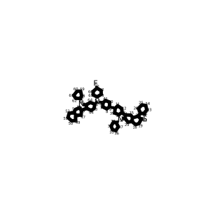 Fc1ccc(N(c2ccc(-c3ccc4c5cc6c(ccc7sc8ccccc8c76)cc5n(-c5ccccc5)c4c3)cc2)c2ccc3c4cc5ccccc5cc4n(-c4ccccc4)c3c2)cc1